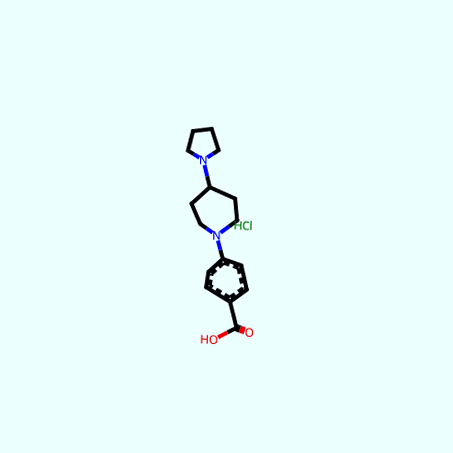 Cl.O=C(O)c1ccc(N2CCC(N3CCCC3)CC2)cc1